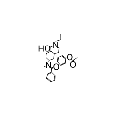 C=CCN1CC[C@@]2(c3cccc(OC(C)=O)c3)C[C@@H](N(C)C(=O)c3ccccc3)CC[C@]2(O)C1